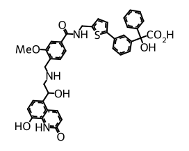 COc1cc(C(=O)NCc2ccc(-c3cccc(C(O)(C(=O)O)c4ccccc4)c3)s2)ccc1CNCC(O)c1ccc(O)c2[nH]c(=O)ccc12